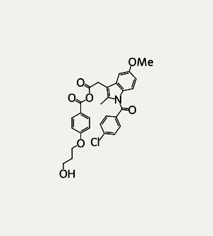 COc1ccc2c(c1)c(CC(=O)OC(=O)c1ccc(OCCCO)cc1)c(C)n2C(=O)c1ccc(Cl)cc1